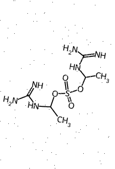 CC(NC(=N)N)OS(=O)(=O)OC(C)NC(=N)N